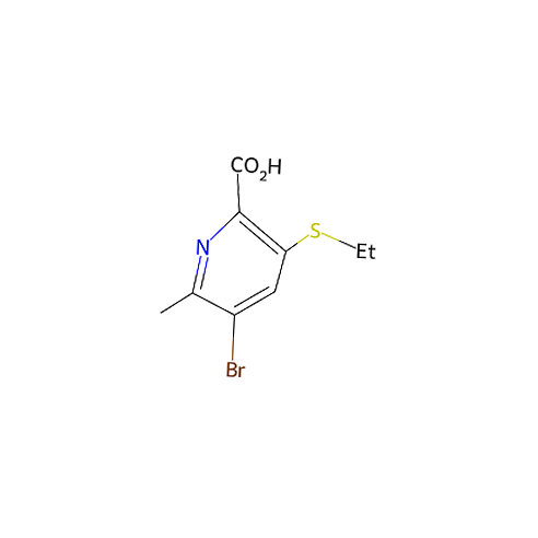 CCSc1cc(Br)c(C)nc1C(=O)O